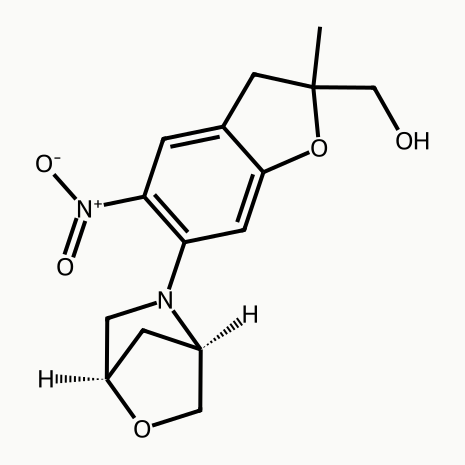 CC1(CO)Cc2cc([N+](=O)[O-])c(N3C[C@H]4C[C@@H]3CO4)cc2O1